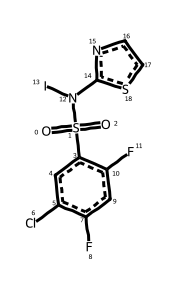 O=S(=O)(c1cc(Cl)c(F)cc1F)N(I)c1nccs1